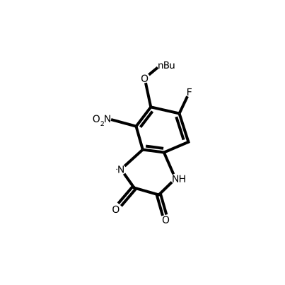 CCCCOc1c(F)cc2c(c1[N+](=O)[O-])[N]C(=O)C(=O)N2